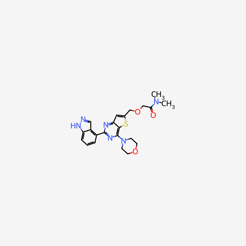 CN(C)C(=O)COCc1cc2nc(-c3cccc4[nH]ncc34)nc(N3CCOCC3)c2s1